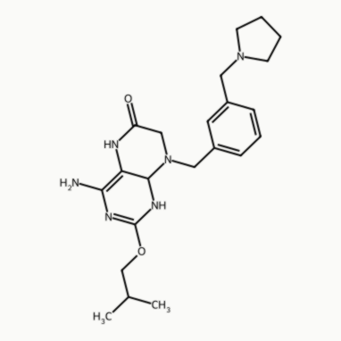 CC(C)COC1=NC(N)=C2NC(=O)CN(Cc3cccc(CN4CCCC4)c3)C2N1